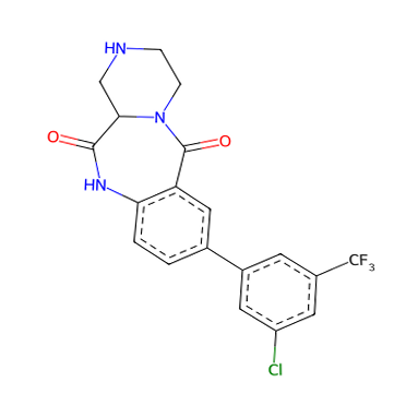 O=C1Nc2ccc(-c3cc(Cl)cc(C(F)(F)F)c3)cc2C(=O)N2CCNCC12